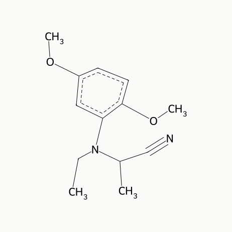 CCN(c1cc(OC)ccc1OC)C(C)C#N